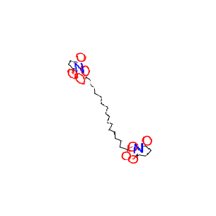 O=C(CCCCCCCCCCCCCCCCC(=O)ON1C(=O)CCC1=O)ON1C(=O)CCC1=O